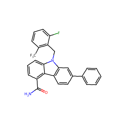 NC(=O)c1cccc2c1c1[c]cc(-c3ccccc3)cc1n2Cc1c(F)cccc1C(F)(F)F